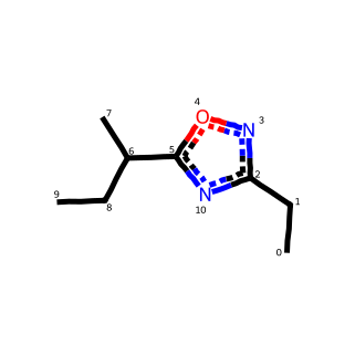 CCc1noc(C(C)CC)n1